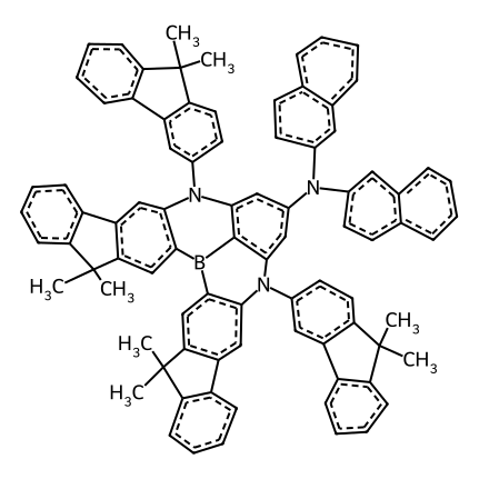 CC1(C)c2ccccc2-c2cc(N3c4cc5c(cc4B4c6cc7c(cc6N(c6ccc8c(c6)-c6ccccc6C8(C)C)c6cc(N(c8ccc9ccccc9c8)c8ccc9ccccc9c8)cc3c64)-c3ccccc3C7(C)C)C(C)(C)c3ccccc3-5)ccc21